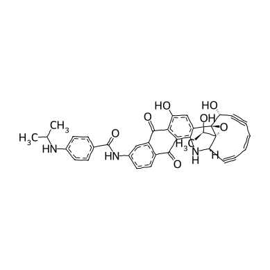 CC(C)Nc1ccc(C(=O)Nc2ccc3c(c2)C(=O)c2c(O)cc4c(c2C3=O)N[C@H]2C#C/C=C\C#C[C@@H](O)[C@@]43O[C@@]23[C@@H](C)O)cc1